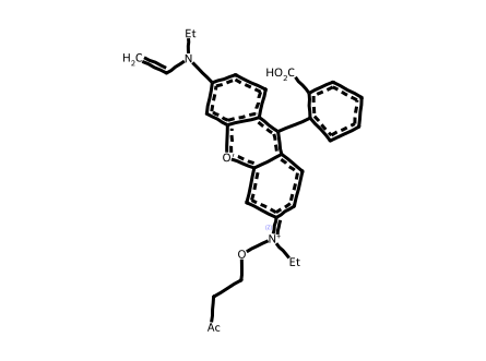 C=CN(CC)c1ccc2c(-c3ccccc3C(=O)O)c3cc/c(=[N+](\CC)OCCC(C)=O)cc-3oc2c1